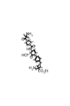 CCOC(=O)C1(CN)CN(Cc2ccc(-n3ccc(NC(=O)N4CCN(C(=O)C(C)(C)N)CC4)nc3=O)cc2)C1.Cl